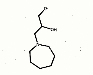 [O]CC(O)CN1CCCCCC1